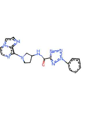 O=C(NC1CCN(c2nccn3ccnc23)C1)c1nnn(-c2ccccc2)n1